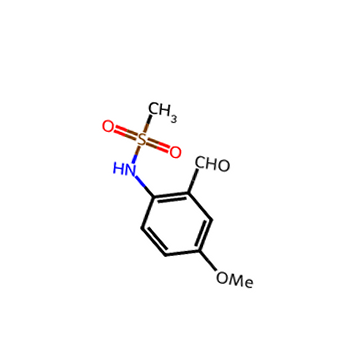 COc1ccc(NS(C)(=O)=O)c(C=O)c1